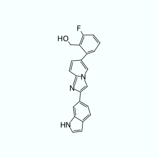 OCc1c(F)cccc1-c1ccc2nc(-c3ccc4cc[nH]c4c3)cn2c1